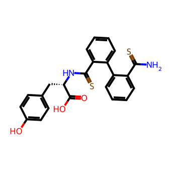 NC(=S)c1ccccc1-c1ccccc1C(=S)N[C@@H](Cc1ccc(O)cc1)C(=O)O